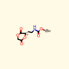 CC(C)(C)OC(=O)NCC[C@@H]1OC(=O)COC1=O